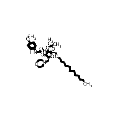 CCCCCCCCCCCCOC[C@@]12O[C@@H](CN3CCOCC3)[C@@H](OC(=O)Nc3ccc(OC)cc3)[C@@H]1OC(C)(C)O2